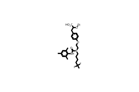 CCOC(Cc1ccc(OCCN(CCCCC(C)(F)F)C(=O)Nc2c(C)cc(C)cc2C)cc1)C(=O)O